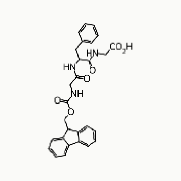 O=C(O)CNC(=O)C(Cc1ccccc1)NC(=O)CNC(=O)OCC1c2ccccc2-c2ccccc21